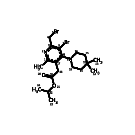 Cc1nc(CBr)c(Br)c(N2CCC(C)(C)CC2)c1CC(=O)OC(C)C